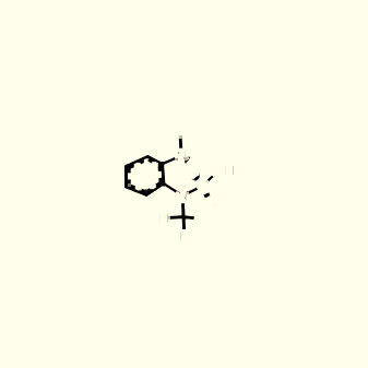 [2H]C([2H])([2H])N(c1ccccc1[N+](=O)[O-])S(C)(=O)=O